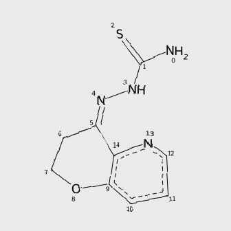 NC(=S)N/N=C1/CCOc2cccnc21